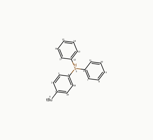 CC(C)(C)c1ccc([SH](c2ccccc2)c2ccccc2)cc1